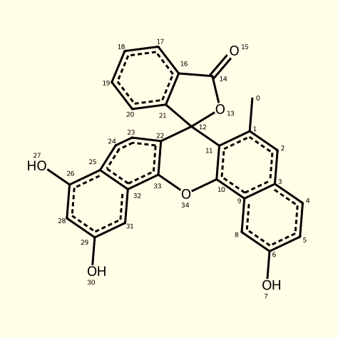 Cc1cc2ccc(O)cc2c2c1C1(OC(=O)c3ccccc31)c1ccc3c(O)cc(O)cc3c1O2